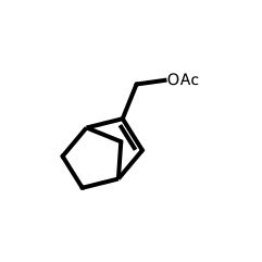 CC(=O)OCC1=CC2CCC1C2